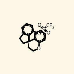 O=S(=O)(Oc1cccc2c1[C@@]1(CCOc3ccccc31)CC2)C(F)(F)F